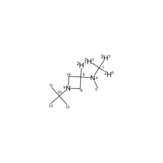 [2H]C([2H])([2H])N(C)C1([2H])CN(C(C)(C)C)C1